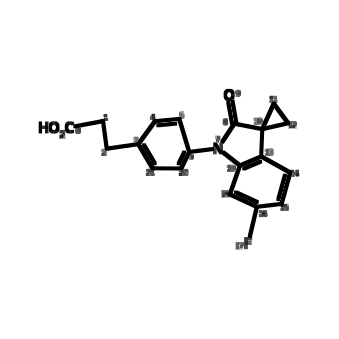 O=C(O)CCc1ccc(N2C(=O)C3(CC3)c3ccc(F)cc32)cc1